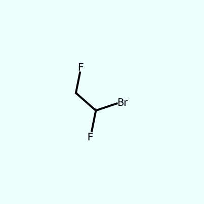 FC[C](F)Br